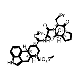 CC(C)C[C@H]1C(=O)N2CCC[C@H]2[C@]2(O)O[C@](NC(=O)[C@@H]3C[C@@H]4c5cccc6[nH]cc(c56)C[C@H]4N(C)C3)(C(C)C)C(=O)N12.CS(=O)(=O)O